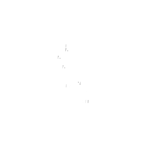 CCN(O)Cc1c[nH]nn1